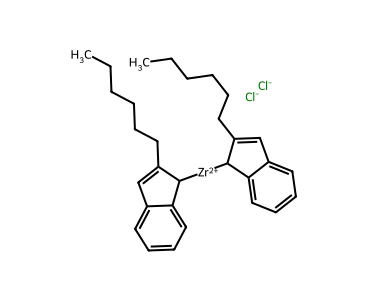 CCCCCCC1=Cc2ccccc2[CH]1[Zr+2][CH]1C(CCCCCC)=Cc2ccccc21.[Cl-].[Cl-]